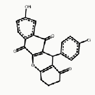 O=C1CCCC2=C1C(c1ccc(Cl)cc1)C1=C(O2)C(=O)c2ccc(O)cc2C1=O